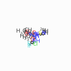 [2H]C([2H])([2H])N1CCc2cc(-c3nc4n(CC(=O)Nc5ccc(C(F)(F)F)cc5Cl)c(CC)c(N5CCN(C(=O)OC(C)(C)C)[C@H](C)C5)c(=O)n4n3)sc2C1